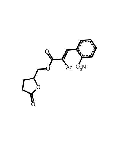 CC(=O)C(=Cc1ccccc1[N+](=O)[O-])C(=O)OCC1CCC(=O)O1